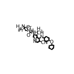 Cc1c(NC(=O)NCC(N)(C(C)C)C(C)C)cn2ncc(C#N)c(Nc3ccc(Oc4ccccc4)cc3)c12